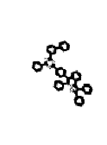 c1ccc(-c2cccc(-c3nc(-c4ccccc4)nc(-c4ccc(-c5c(-c6ccccc6)n6nc(-c7ccccc7)c(-c7ccccc7)c6c6ccccc56)cc4)n3)c2)cc1